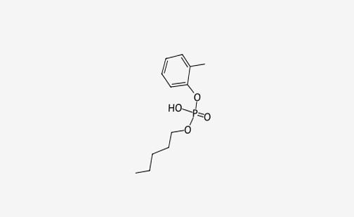 CCCCCOP(=O)(O)Oc1ccccc1C